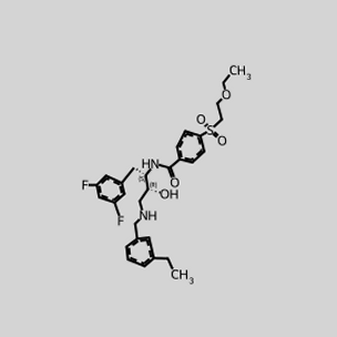 CCOCCS(=O)(=O)c1ccc(C(=O)N[C@@H](Cc2cc(F)cc(F)c2)[C@H](O)CNCc2cccc(CC)c2)cc1